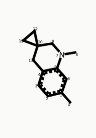 Cc1ccc2c(c1)N(C)CC1(CC1)C2